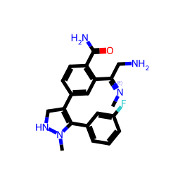 C/N=C(/CN)c1cc(C2=C(c3cccc(F)c3)N(C)NC2)ccc1C(N)=O